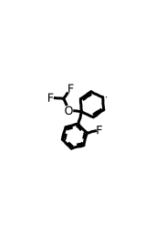 Fc1ccccc1C1(OC(F)F)C=C[CH]C=C1